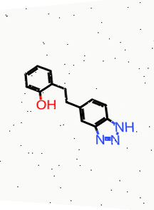 Oc1ccccc1CCc1ccc2[nH]nnc2c1